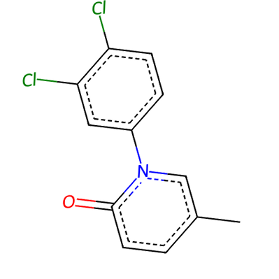 Cc1ccc(=O)n(-c2ccc(Cl)c(Cl)c2)c1